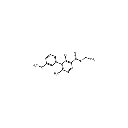 CCOC(=O)c1cnc(C)c(-c2cccc(OC)c2)c1Cl